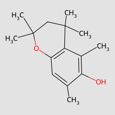 Cc1cc2c(c(C)c1O)C(C)(C)CC(C)(C)O2